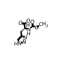 COC(=O)N[C@@H](Cc1c[nH]nn1)C(=O)O